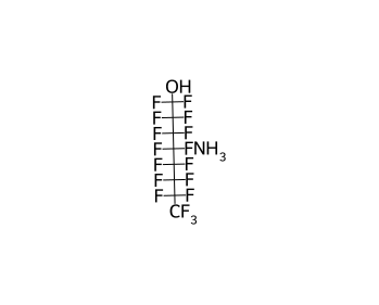 N.OC(F)(F)C(F)(F)C(F)(F)C(F)(F)C(F)(F)C(F)(F)C(F)(F)C(F)(F)F